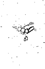 CC(C)(C)CN1C(=O)[C@H](CC(=O)O)O[C@@H](c2cccc3ccccc23)c2cc(Cl)ccc21